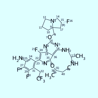 CC1CNc2nc(OCC34CCCN3C[C@H](F)C4)nc3c(F)c(-c4cc(N)c(F)c(F)c4CC(F)(F)F)nc(c23)O[C@@H](C)CCN1